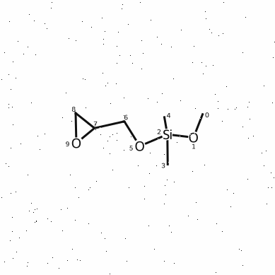 CO[Si](C)(C)OCC1CO1